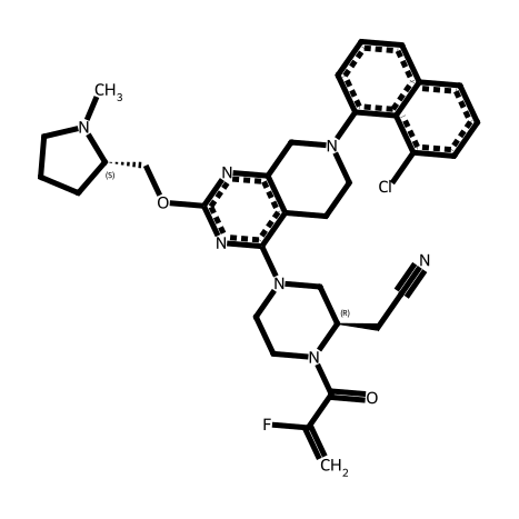 C=C(F)C(=O)N1CCN(c2nc(OC[C@@H]3CCCN3C)nc3c2CCN(c2cccc4cccc(Cl)c24)C3)C[C@H]1CC#N